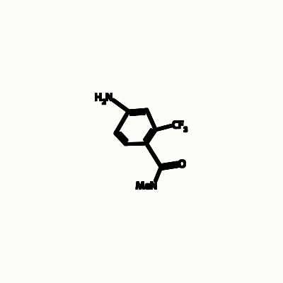 CNC(=O)c1ccc(N)cc1C(F)(F)F